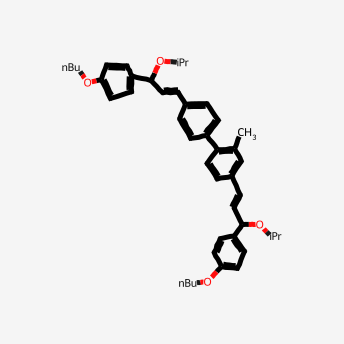 CCCCOc1ccc(C(C=Cc2ccc(-c3ccc(C=CC(OC(C)C)c4ccc(OCCCC)cc4)cc3C)cc2)OC(C)C)cc1